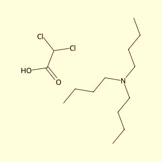 CCCCN(CCCC)CCCC.O=C(O)C(Cl)Cl